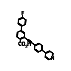 O=C(O)c1ccc(-c2ccc(F)cc2)cc1C#Cc1ccc(-c2ccncc2)cc1